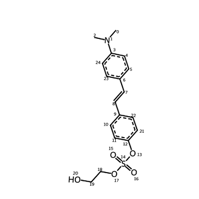 CN(C)c1ccc(C=Cc2ccc(OS(=O)(=O)OCCO)cc2)cc1